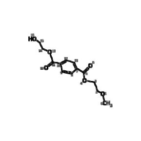 COCCOC(=O)c1ccc(C(=O)OCCO)cc1